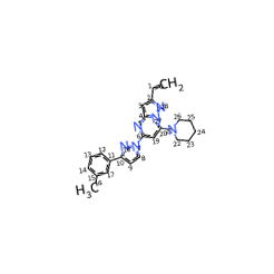 C=Cc1cc2nc(-n3ccc(-c4cccc(C)c4)n3)cc(N3CCCCC3)n2n1